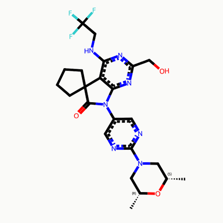 C[C@@H]1CN(c2ncc(N3C(=O)C4(CCCC4)c4c(NCC(F)(F)F)nc(CO)nc43)cn2)C[C@H](C)O1